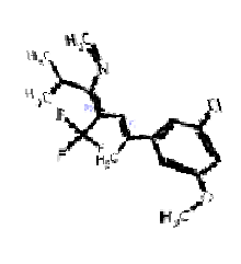 C=N/C(=C(\C=C(/C)c1cc(Cl)cc(OC)c1)C(F)(F)F)C(C)C